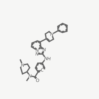 CN1CCC(N(C)C(=O)c2ccc(Nc3nc4c(C5=CCN(c6ccccc6)CC5)cccn4n3)cc2)CC1